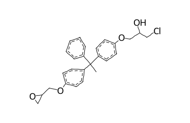 CC(c1ccccc1)(c1ccc(OCC(O)CCl)cc1)c1ccc(OCC2CO2)cc1